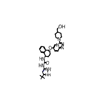 CN/C(=C\C(=N)C(C)(C)C)NC(=O)NC1CC[C@@H](Oc2ccc3nnc(N4CCC(CO)CC4)n3c2)c2ccccc21